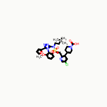 COc1cccc(OC)c1-n1c(-c2ccco2)nnc1N(CC[Si](C)(C)C)S(=O)(=O)CCc1ncc(Cl)cc1C1=CCN(C(=O)O)CC1